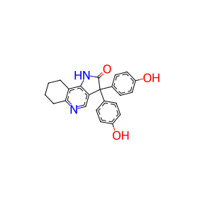 O=C1Nc2c(cnc3c2CCCC3)C1(c1ccc(O)cc1)c1ccc(O)cc1